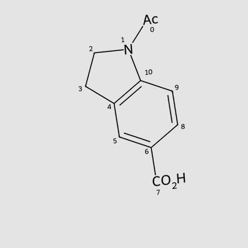 CC(=O)N1CCc2cc(C(=O)O)ccc21